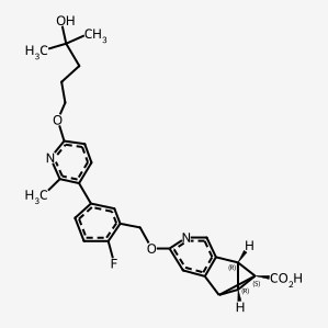 Cc1nc(OCCCC(C)(C)O)ccc1-c1ccc(F)c(COc2cc3c(cn2)[C@H]2[C@H]4C3[C@@]42C(=O)O)c1